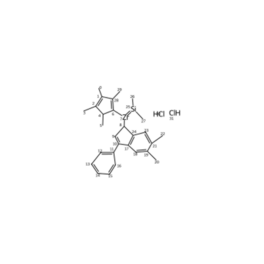 CC1=C(C)C(C)[C]([Zr]([CH]2C=C(c3ccccc3)c3cc(C)c(C)cc32)=[Si](C)C)=C1C.Cl.Cl